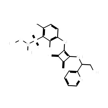 CCC(Nc1c(Nc2ccc(Cl)c(S(=O)(=O)N(C)OC)c2O)c(=O)c1=O)c1ccccn1